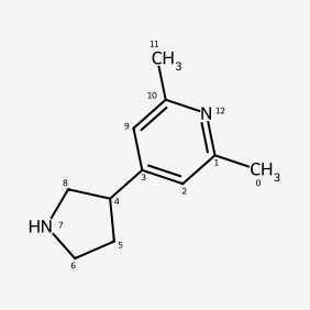 Cc1cc(C2CCNC2)cc(C)n1